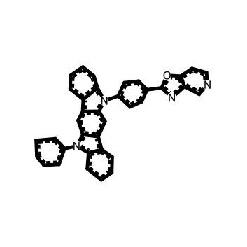 c1ccc(-n2c3ccccc3c3cc4c(cc32)c2ccccc2n4-c2ccc(-c3nc4cnccc4o3)cc2)cc1